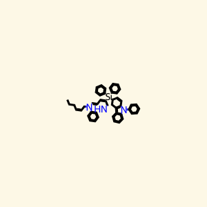 CCC/C=C\CN(/C=C/C=C(\C=N)[Si](c1ccccc1)(c1ccccc1)C1C=Cc2c(c3ccccc3n2-c2ccccc2)C1)c1ccccc1